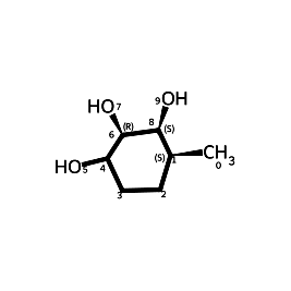 C[C@H]1CCC(O)[C@@H](O)[C@H]1O